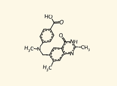 Cc1nc2cc(C)c(CN(C)c3ccc(C(=O)O)cc3)cc2c(=O)[nH]1